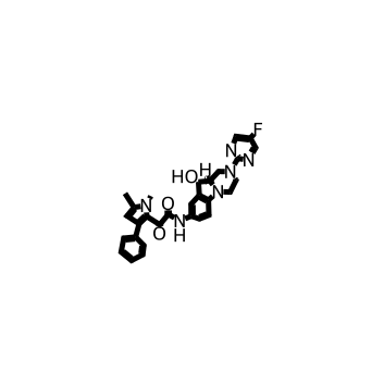 Cc1cc(-c2ccccc2)c(C(=O)C(=O)Nc2ccc3c(c2)C(O)[C@H]2CN(c4ncc(F)cn4)CCN32)n1C